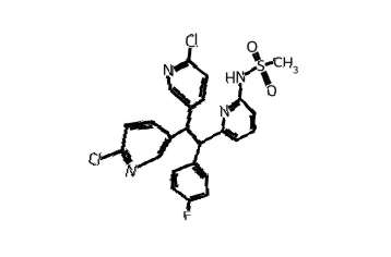 CS(=O)(=O)Nc1cccc(C(c2ccc(F)cc2)C(c2ccc(Cl)nc2)c2ccc(Cl)nc2)n1